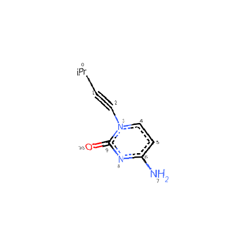 CC(C)C#Cn1ccc(N)nc1=O